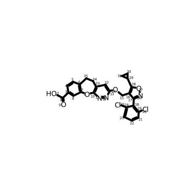 O=C(O)c1ccc2c(c1)Oc1nnc(OCc3c(-c4c(Cl)cccc4Cl)noc3C3CC3)cc1CC2